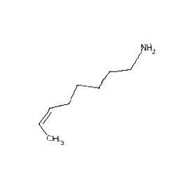 C/C=C\CCCCCN